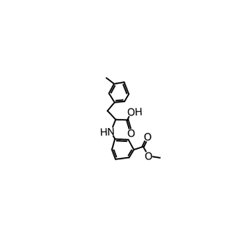 COC(=O)c1cccc(NC(Cc2cccc(C)c2)C(=O)O)c1